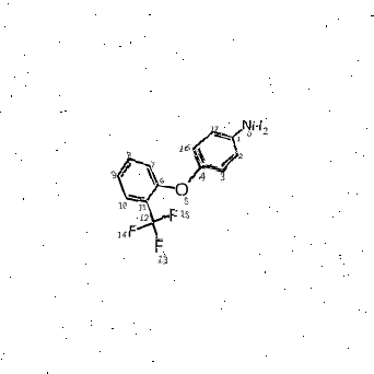 Nc1ccc(Oc2ccccc2C(F)(F)F)cc1